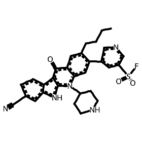 CCCCc1cc2c(=O)c3c4ccc(C#N)cc4[nH]c3n(C3CCNCC3)c2cc1-c1cncc(S(=O)(=O)F)c1